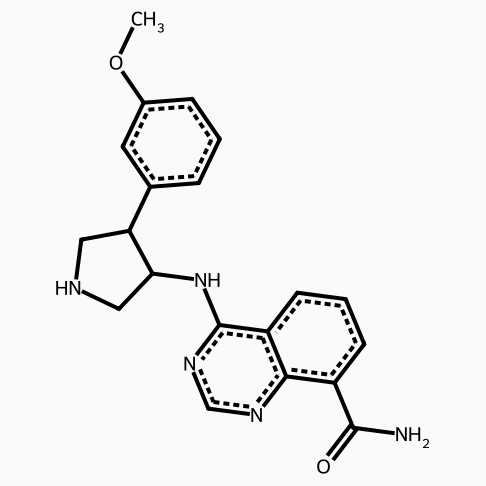 COc1cccc(C2CNCC2Nc2ncnc3c(C(N)=O)cccc23)c1